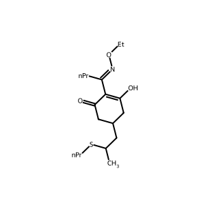 CCCSC(C)CC1CC(=O)C(/C(CCC)=N/OCC)=C(O)C1